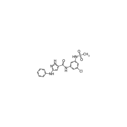 CS(=O)(=O)Nc1cc(Cl)cc(NC(=O)c2cc(Nc3ccccc3)n[nH]2)c1